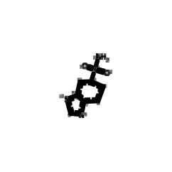 NS(=O)(=O)c1ccc2n[c]sc2c1